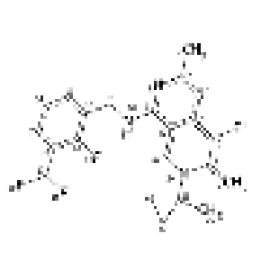 C=C1C(F)=c2nc(C)nc(NCc3cccc(C(F)F)c3F)c2=CN1C1(C)CC1